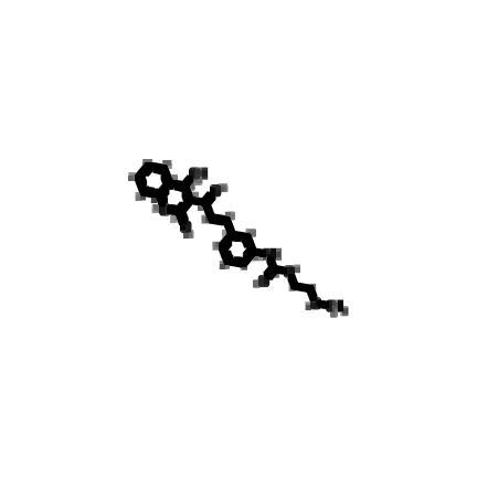 COCCOC(=O)Nc1cccc(/C=C/C(=O)c2c(O)c3ccccc3oc2=O)c1